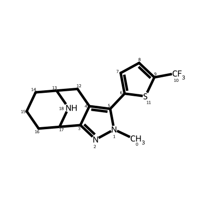 Cn1nc2c(c1-c1ccc(C(F)(F)F)s1)CC1CCCC2N1